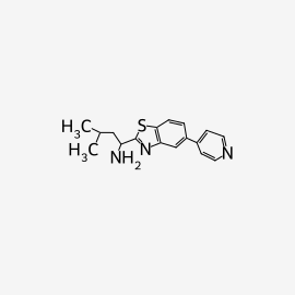 CC(C)CC(N)c1nc2cc(-c3ccncc3)ccc2s1